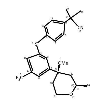 CO[C@]1(c2cc(Sc3ccc(C(C)(C)C#N)cc3)cc(C(F)(F)F)c2)CCO[C@H](C)C1